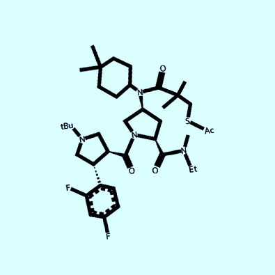 CCN(C)C(=O)[C@@H]1C[C@H](N(C(=O)C(C)(C)CSC(C)=O)C2CCC(C)(C)CC2)CN1C(=O)[C@@H]1CN(C(C)(C)C)C[C@H]1c1ccc(F)cc1F